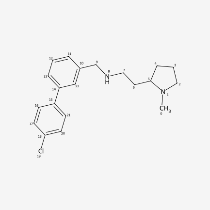 CN1CCCC1CCNCc1cccc(-c2ccc(Cl)cc2)c1